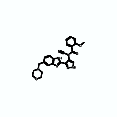 COc1ccccc1C(=O)N(C#N)c1c[nH]nc1-c1nc2cc(CN3CCOCC3)ccc2[nH]1